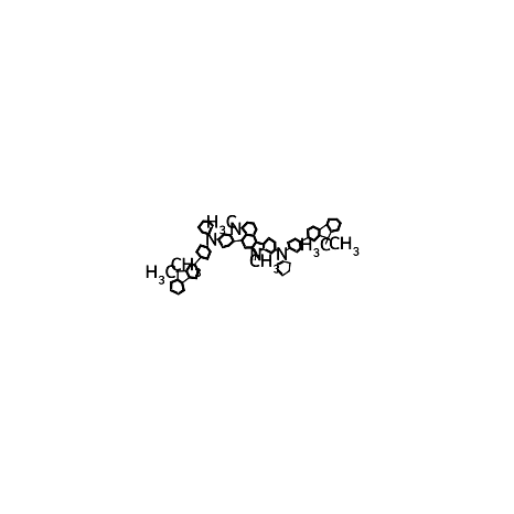 CN1c2cc(N(c3ccccc3)c3ccc(-c4ccc5c(c4)C(C)(C)c4ccccc4-5)cc3)ccc2-c2cc3c(c4cccc1c24)c1ccc(N(C2=CC=CCC2)c2ccc(-c4ccc5c(c4)C(C)(C)c4ccccc4-5)cc2)cc1n3C